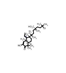 CCC(C)(C)CC[C@@](C)(CCC(C)(C)[C@]1(C)CC[C@H]2C(C)(C)C(=O)C(C#N)=C[C@]2(C)/C1=C/C(C)=O)C(=O)O